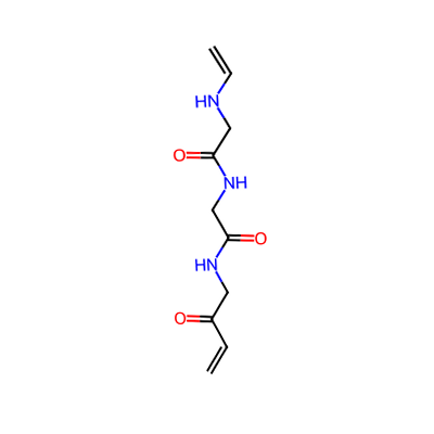 C=CNCC(=O)NCC(=O)NCC(=O)C=C